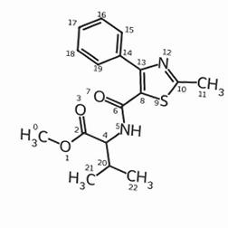 COC(=O)C(NC(=O)c1sc(C)nc1-c1ccccc1)C(C)C